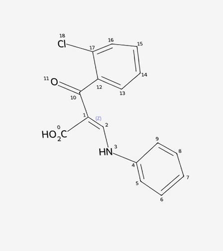 O=C(O)/C(=C\Nc1ccccc1)C(=O)c1ccccc1Cl